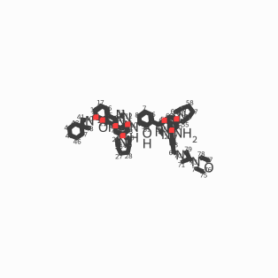 Nc1nnc(-c2cccc(Nc3nnc(-c4ccccc4O)cc3N3CC4CCC(C3)N4c3ccnc(C#CCN4CC5(CCCCC5)C4)c3)c2O)cc1N1CC2CCC(C1)N2c1ccnc(C#CCN2CC(N3CCOCC3)C2)c1